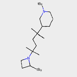 CC(C)(C)C1CCN1C(C)(C)CCC(C)(C)C1CCCN(C(C)(C)C)C1